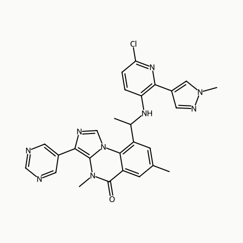 Cc1cc(C(C)Nc2ccc(Cl)nc2-c2cnn(C)c2)c2c(c1)c(=O)n(C)c1c(-c3cncnc3)ncn21